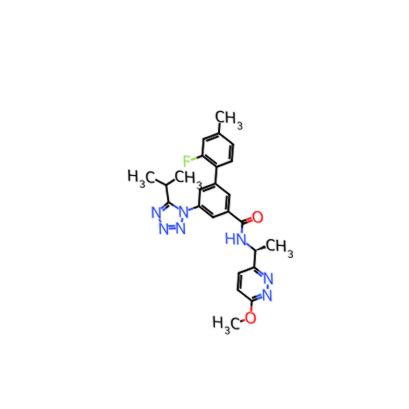 COc1ccc([C@H](C)NC(=O)c2cc(-c3ccc(C)cc3F)cc(-n3nnnc3C(C)C)c2)nn1